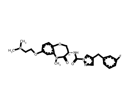 CN(C)CCOc1ccc2c(c1)N(C)C(=O)[C@@H](NC(=O)n1cc(Cc3cccc(F)c3)cn1)CO2